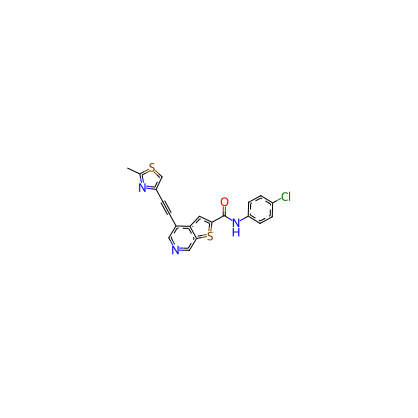 Cc1nc(C#Cc2cncc3sc(C(=O)Nc4ccc(Cl)cc4)cc23)cs1